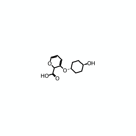 O=C(O)C1OC=CC=C1O[C@H]1CC[C@H](O)CC1